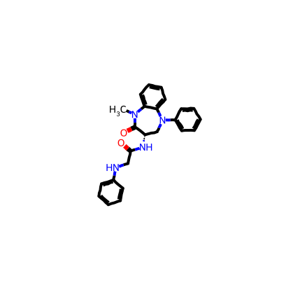 CN1C(=O)[C@@H](NC(=O)CNc2ccccc2)CN(c2ccccc2)c2ccccc21